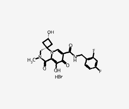 Br.CN1C[C@]2(C[C@@H](O)C2)n2cc(C(=O)NCc3ccc(F)cc3F)c(=O)c(O)c2C1=O